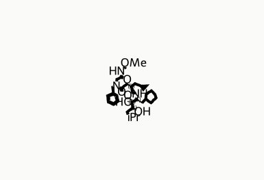 COCNC(=O)CN(Cc1ccccc1)C(=O)C[C@@H](CC1CC1)C(=O)N[C@@H](CC1CCCCC1)[C@@H](O)[C@@H](O)CC(C)C